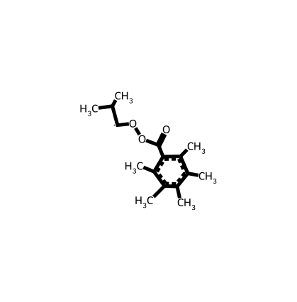 Cc1c(C)c(C)c(C(=O)OO[CH]C(C)C)c(C)c1C